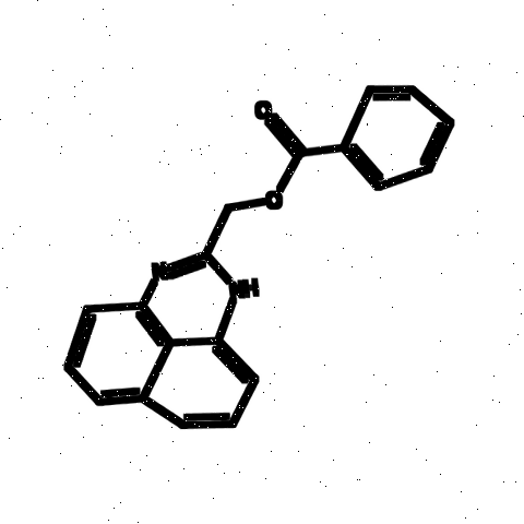 O=C(OCC1=Nc2cccc3cccc(c23)N1)c1ccccc1